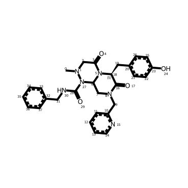 CN1CC(=O)N2C(CN(Cc3ccccn3)C(=O)[C@@H]2Cc2ccc(O)cc2)N1C(=O)NCc1ccccc1